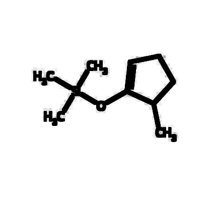 CC1CCC=C1O[Si](C)(C)C